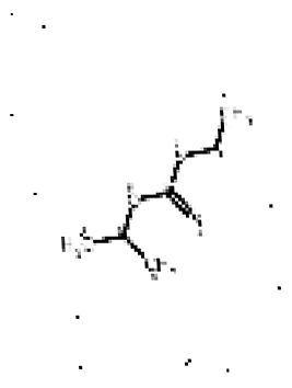 CCSC(=S)OC(C)C